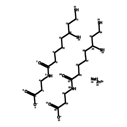 O=C([O-])CCNC(=O)CCCCC(S)CCS.O=C([O-])CCNC(=O)CCCCC(S)CCS.[NaH].[Zn+2]